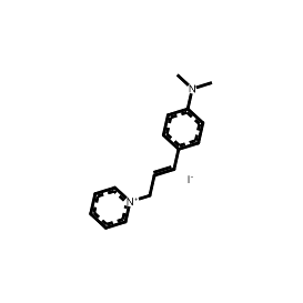 CN(C)c1ccc(C=CC[n+]2ccccc2)cc1.[I-]